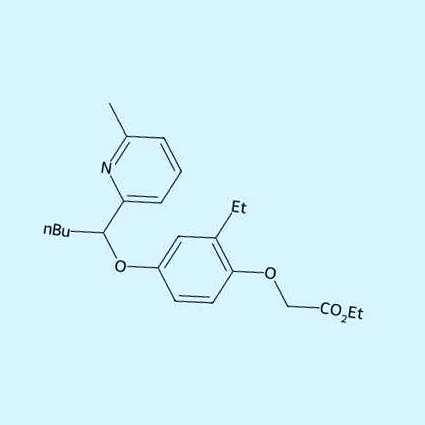 CCCCC(Oc1ccc(OCC(=O)OCC)c(CC)c1)c1cccc(C)n1